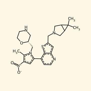 Cc1c([N+](=O)[O-])cc(-c2ccnc3cc(CN4CC5C(C4)C5(C)C)sc23)n1C[C@H]1CNCCO1